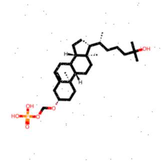 C[C@H](CCCC(C)(C)O)[C@H]1CC[C@H]2C3CC=C4C[C@@H](OCOP(=O)(O)O)CC[C@]4(C)[C@H]3CC[C@]12C